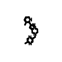 Cc1cnc(CN2CCn3nc(-c4ncccc4C)cc3C2)cn1